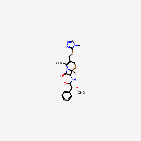 Cn1cnnc1SCC1=C(C=O)N2C(=O)[C@@H](NC(=O)[C@H](OC=O)c3ccccc3)[C@H]2SC1